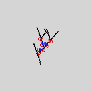 CCCCCCCCCCCCN(CCCCCCCCCCCC)C(=O)OCCCNC(=O)CCN(CCC(=O)NCCCOC(=O)N(CCCCCCCCCCCC)CCCCCCCCCCCC)CCC(=O)NCCCOC(=O)N(CCCCCCCCCCCC)CCCCCCCCCCCC